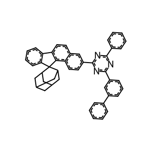 c1ccc(-c2cccc(-c3nc(-c4ccccc4)nc(-c4ccc5c6c(ccc5c4)-c4ccccc4C64C5CC6CC(C5)CC4C6)n3)c2)cc1